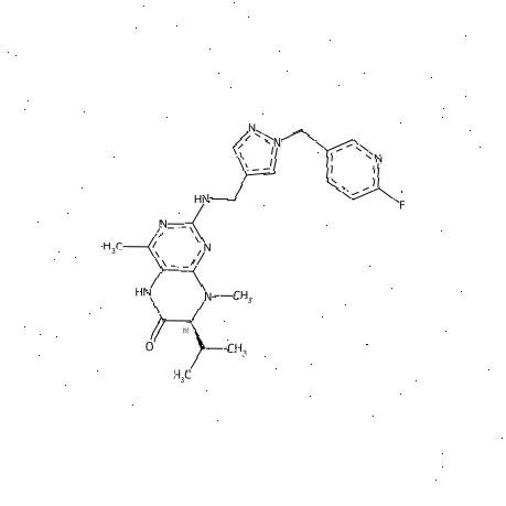 Cc1nc(NCc2cnn(Cc3ccc(F)nc3)c2)nc2c1NC(=O)[C@H](C(C)C)N2C